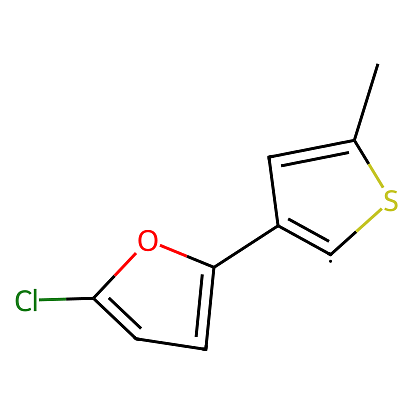 Cc1cc(-c2ccc(Cl)o2)[c]s1